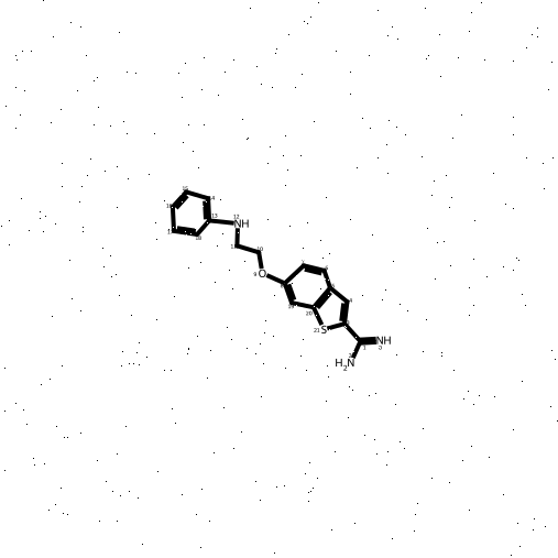 N=C(N)c1cc2ccc(OCCNc3ccccc3)cc2s1